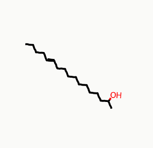 CCCCC=CCCCCCCCCCC(C)O